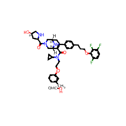 Cc1cccc(OCCN(C(=O)C2=C(c3ccc(CCCOc4c(F)ccc(F)c4F)cc3)C[C@@H]3CN(C(=O)C4C[C@@H](O)CN4)C[C@@H]2N3)C2CC2)c1.O=CO